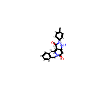 Cc1ccc(-n2[nH]c3cc(=O)n(Cc4ccccc4)c(C)c3c2=O)cc1